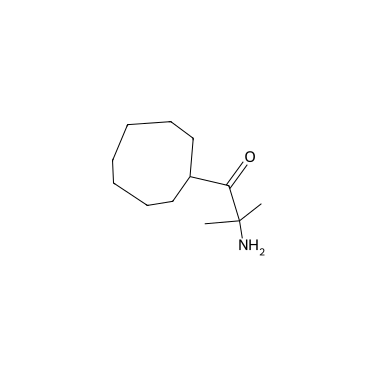 CC(C)(N)C(=O)C1CCCCCCC1